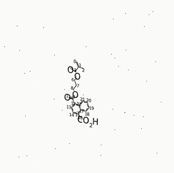 C=C(C)C(=O)OCCCOC(=O)c1ccc(C(=O)O)c2ccccc12